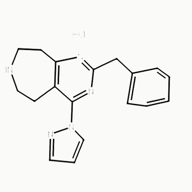 Cl.c1ccc(Cc2nc3c(c(-n4cccn4)n2)CCNCC3)cc1